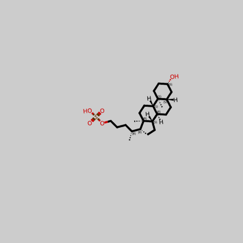 C[C@H](CCCOS(=O)(=O)O)[C@H]1CC[C@H]2[C@@H]3CC[C@H]4C[C@@H](O)CC[C@]4(C)[C@H]3CC[C@]12C